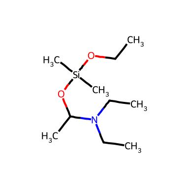 CCO[Si](C)(C)OC(C)N(CC)CC